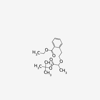 CCOC(=O)c1ccccc1CCOC(C)C(=O)OC(C)(C)C